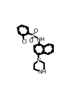 O=S(=O)(Nc1ccc(N2CCNCC2)c2ccccc12)c1ccccc1Cl